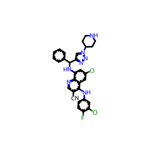 N#Cc1cnc2c(NC(c3ccccc3)c3cn(C4CCNCC4)nn3)cc(Cl)cc2c1Nc1ccc(F)c(Cl)c1